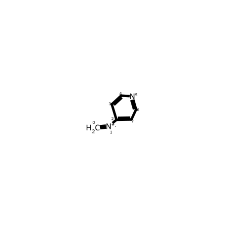 C=[N+]c1ccncc1